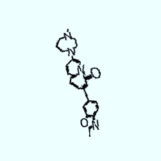 Cc1nc2ccc(C3=C\C(=O)N4C=C(N5CCCN(C)CC5)C=C\C4=C/C=C/3)cc2o1